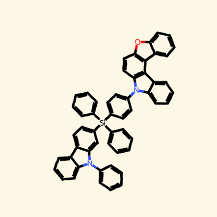 c1ccc(-n2c3ccccc3c3ccc([Si](c4ccccc4)(c4ccccc4)c4ccc(-n5c6ccccc6c6c7c(ccc65)oc5ccccc57)cc4)cc32)cc1